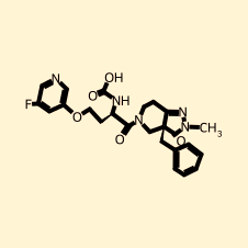 CN1N=C2CCN(C(=O)[C@@H](CCOc3cncc(F)c3)NC(=O)O)C[C@@]2(Cc2ccccc2)C1=O